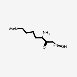 CNCCCC[C@H](N)C(=O)CNO